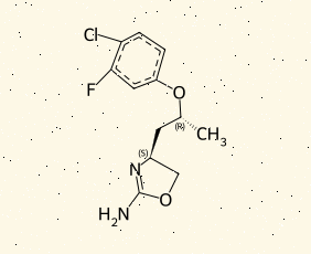 C[C@H](C[C@H]1COC(N)=N1)Oc1ccc(Cl)c(F)c1